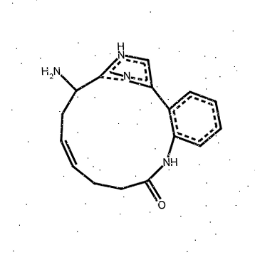 NC1CC=CCCC(=O)Nc2ccccc2-c2c[nH]c1n2